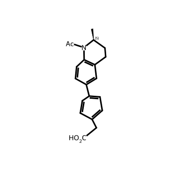 CC(=O)N1c2ccc(-c3ccc(CC(=O)O)cc3)cc2CC[C@@H]1C